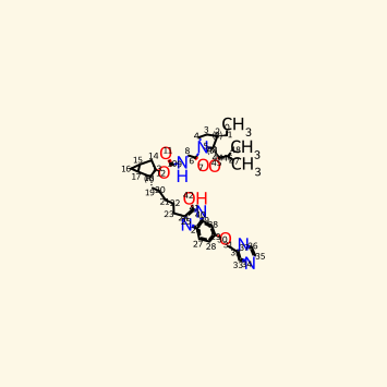 CC[C@@H]1CCN(C(=O)CNC(=O)OC2CC3CC3[C@H]2CCCCCc2nc3ccc(OCc4cnccn4)cc3nc2O)[C@@H]1C(=O)C(C)C